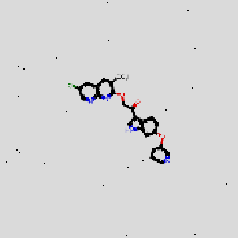 O=C(O)c1cc2cc(Cl)cnc2nc1OCC(=O)c1c[nH]c2cc(Oc3cccnc3)ccc12